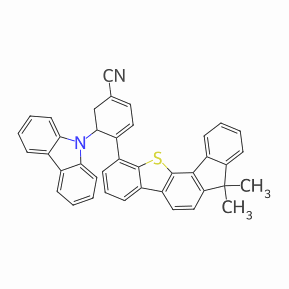 CC1(C)c2ccccc2-c2c1ccc1c2sc2c(C3=CC=C(C#N)CC3n3c4ccccc4c4ccccc43)cccc21